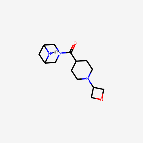 CC(C)N1C2CC1CN(C(=O)C1CCN(C3COC3)CC1)C2